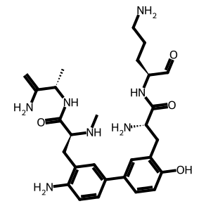 C=C(N)[C@H](C)NC(=O)[C@H](Cc1cc(-c2ccc(O)c(C[C@H](N)C(=O)N[C@H](C=O)CCCN)c2)ccc1N)NC